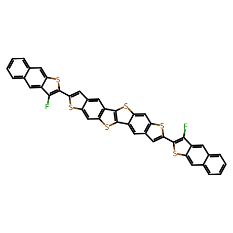 Fc1c(-c2cc3cc4c(cc3s2)sc2c3cc5cc(-c6sc7cc8ccccc8cc7c6F)sc5cc3sc42)sc2cc3ccccc3cc12